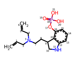 C=CCN(CC=C)CCC1CNc2cccc(OP(=O)(O)O)c21